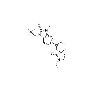 CCN1CCC2(CCCN(c3ccc4c(n3)n(C)c(=O)n4CC(C)(C)C)C2)C1=O